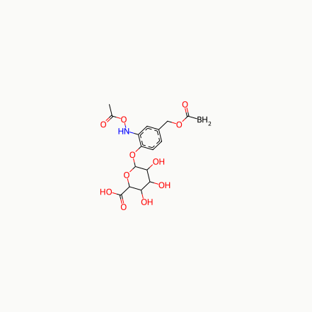 BC(=O)OCc1ccc(OC2OC(C(=O)O)C(O)C(O)C2O)c(NOC(C)=O)c1